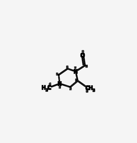 CC1CN(C)CCN1C=O